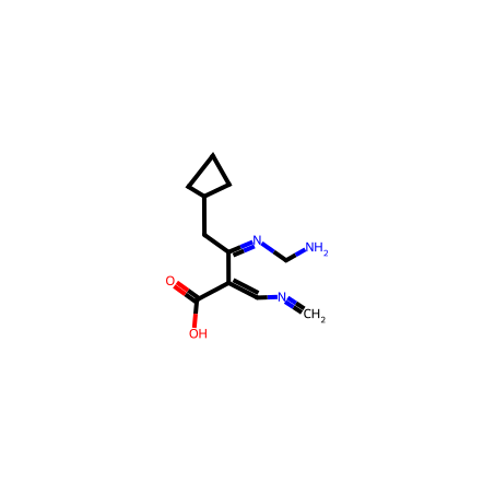 C=N/C=C(C(=O)O)\C(CC1CCC1)=N/CN